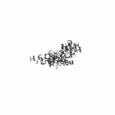 C=C(C)[C@@H]1CC[C@]2(C)S[P@@](=S)(OC[C@H]3O[C@@H](n4cnc5c(=O)[nH]c(O)nc54)[C@H](O)C3O[Si](C)(C)C(C)(C)C)O[C@H]2C1